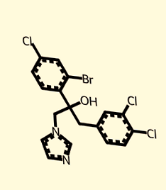 OC(Cc1ccc(Cl)c(Cl)c1)(Cn1ccnc1)c1ccc(Cl)cc1Br